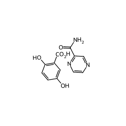 NC(=O)c1cnccn1.O=C(O)c1cc(O)ccc1O